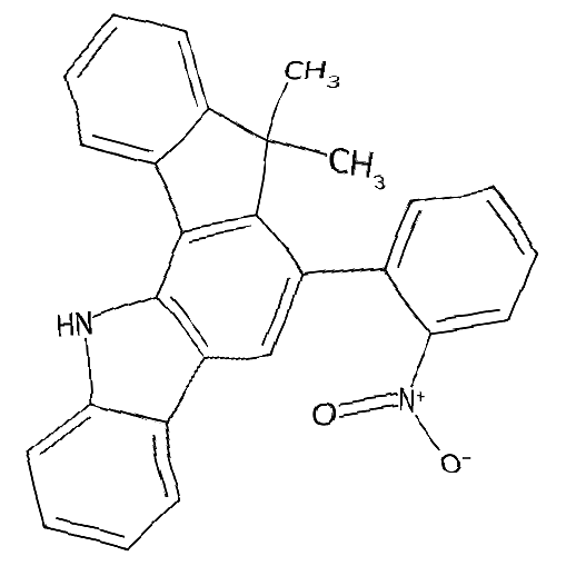 CC1(C)c2ccccc2-c2c1c(-c1ccccc1[N+](=O)[O-])cc1c2[nH]c2ccccc21